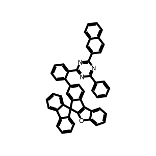 c1ccc(-c2nc(-c3ccc4ccccc4c3)nc(-c3ccccc3-c3ccc4c(c3)C3(c5ccccc5-c5ccccc53)c3oc5ccccc5c3-4)n2)cc1